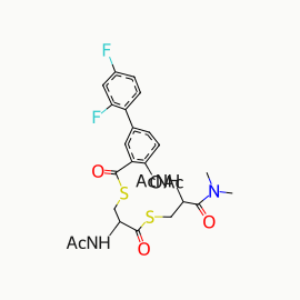 CC(=O)NC(CSC(=O)c1cc(-c2ccc(F)cc2F)ccc1OC(C)=O)C(=O)SCC(NC(C)=O)C(=O)N(C)C